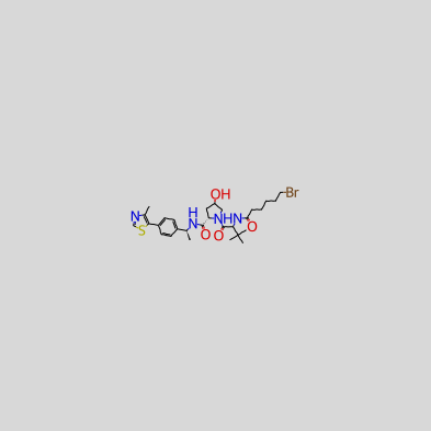 Cc1ncsc1-c1ccc([C@H](C)NC(=O)[C@@H]2C[C@@H](O)CN2C(=O)C(NC(=O)CCCCCBr)C(C)(C)C)cc1